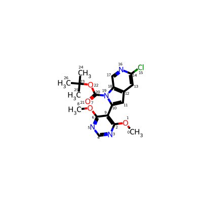 COc1ncnc(OC)c1-c1cc2cc(Cl)ncc2n1C(=O)OC(C)(C)C